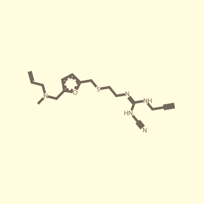 C#CCN/C(=N/CCSCc1ccc(CN(C)CC=C)o1)NC#N